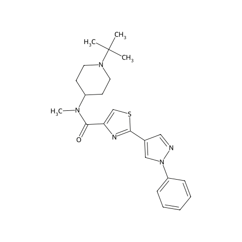 CN(C(=O)c1csc(-c2cnn(-c3ccccc3)c2)n1)C1CCN(C(C)(C)C)CC1